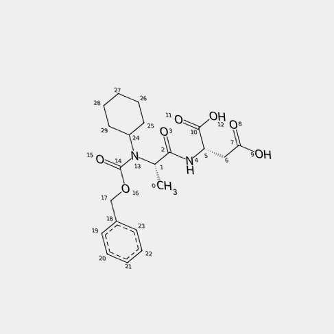 C[C@@H](C(=O)N[C@@H](CC(=O)O)C(=O)O)N(C(=O)OCc1ccccc1)C1CCCCC1